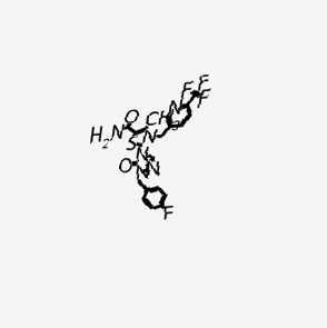 CC1=C(C(N)=O)SC(n2cnn(Cc3ccc(F)cc3)c2=O)N1Cc1ccc(C(F)(F)F)nc1